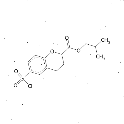 CC(C)COC(=O)C1CCc2cc(S(=O)(=O)Cl)ccc2O1